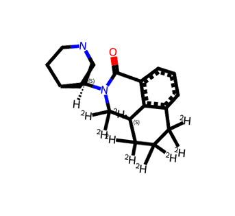 [2H]C1([2H])c2cccc3c2[C@@]([2H])(C([2H])([2H])N([C@@H]2CN4CCC2CC4)C3=O)C([2H])([2H])C1([2H])[2H]